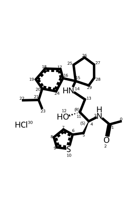 CC(=O)N[C@@H](Cc1cccs1)[C@H](O)CNC1(c2cccc(C(C)C)c2)CCCCC1.Cl